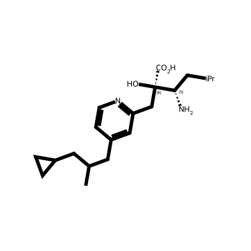 CC(C)C[C@H](N)[C@](O)(Cc1cc(CC(C)CC2CC2)ccn1)C(=O)O